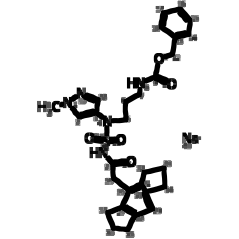 Cn1cc(N(CCCNC(=O)OCc2ccccc2)S(=O)(=O)NC(=O)Cc2c3c(cc4c2CCC4)CCC3)cn1.[Na]